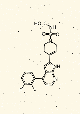 O=C(O)NS(=O)(=O)N1CC=C(c2cc3c(-c4cccc(F)c4F)ccnc3[nH]2)CC1